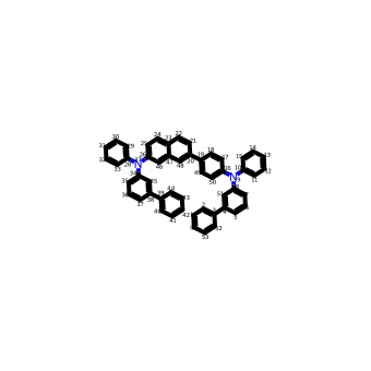 c1ccc(-c2cccc(N(c3ccccc3)c3ccc(-c4ccc5ccc(N(c6ccccc6)c6cccc(-c7ccccc7)c6)cc5c4)cc3)c2)cc1